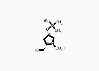 CC(C)(C)[Si](C)(C)O[C@H]1C[C@@H](CO)N(C(=O)O)C1